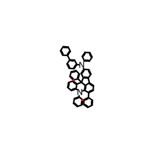 c1ccc(-c2cccc(N(c3ccccc3)c3ccc4c(c3)C3(c5ccccc5)c5ccccc5N(c5ccccc5)c5c(-c6ccccc6)ccc-4c53)c2)cc1